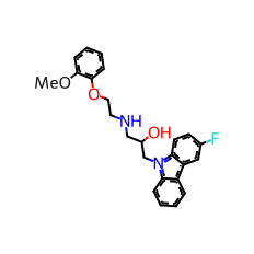 COc1ccccc1OCCNCC(O)Cn1c2ccccc2c2cc(F)ccc21